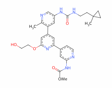 COC(=O)Nc1cc(-c2cc(-c3cc(NC(=O)NCCC4(C)CC4)cnc3C)cc(OCCO)n2)ccn1